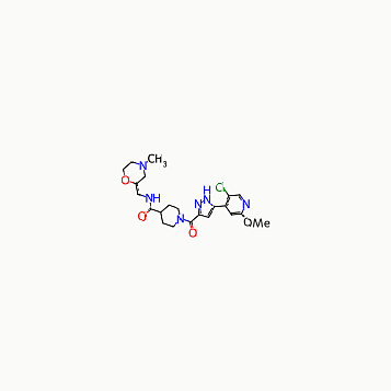 COc1cc(-c2cc(C(=O)N3CCC(C(=O)NCC4CN(C)CCO4)CC3)n[nH]2)c(Cl)cn1